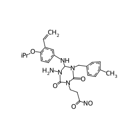 C=Cc1cc(NC2N(N)C(=O)N(CCC(=O)N=O)C(=O)N2Cc2ccc(C)cc2)ccc1OC(C)C